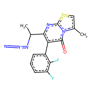 Cc1csc2nc(C(C)N=[N+]=[N-])c(-c3cccc(F)c3F)c(=O)n12